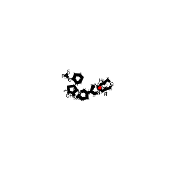 C[C@]1(O)C[C@H](c2ccccc2OC(F)F)c2c1nc1ccc(-c3cnc(N4[C@H]5COC[C@H]4COC5)nc3)cn21